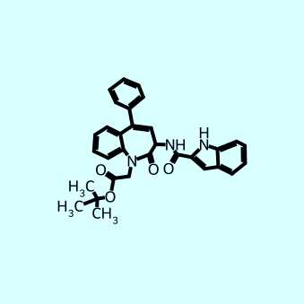 CC(C)(C)OC(=O)CN1C(=O)C(NC(=O)c2cc3ccccc3[nH]2)C=C(c2ccccc2)c2ccccc21